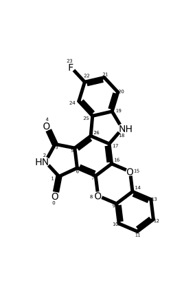 O=c1[nH]c(=O)c2c1c1oc3ccccc3oc1c1[nH]c3ccc(F)cc3c12